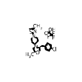 Cc1csc(N2CCC(N3C[C@H](C)OC[C@@H]3Cc3ccc(Cl)cc3)CC2)n1.O=C(O)C(F)(F)F